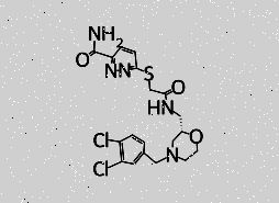 NC(=O)c1ccc(SCC(=O)NC[C@H]2CN(Cc3ccc(Cl)c(Cl)c3)CCO2)nn1